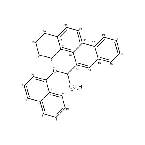 O=C(O)C(Oc1cccc2ccccc12)c1cc2ccccc2c2ccc3c(c12)CCCC3